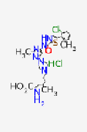 Cc1nc(NC(=O)c2ncc(-c3c(C)cccc3Cl)s2)cc(N2CCN(CCCC(C)CC(N)C(=O)O)CC2)n1.Cl